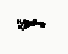 CC1O[Si]2(CCCNC(=O)CCCCC3CCSS3)OC(C)C1O2